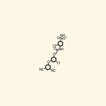 [C-]#[N+]c1cc(C#N)cc(Oc2cc(Cl)cc(OCC(=O)Nc3ccc(S(N)(=O)=O)cc3Cl)c2)c1